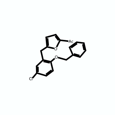 CC(=O)c1ccc(Cc2cc(Cl)ccc2OCc2ccccc2)o1